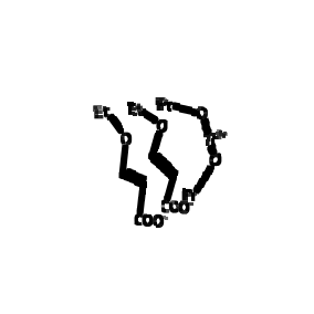 CC(C)[O][Ti+2][O]C(C)C.CCOC=CC(=O)[O-].CCOC=CC(=O)[O-]